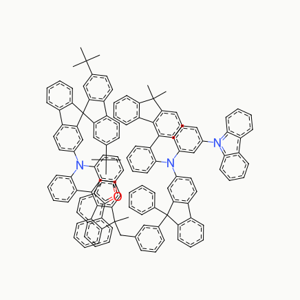 CC(C)(C)c1ccc2c(c1)C1(c3ccccc3-c3ccc(N(c4ccccc4-c4cccc5c4-c4ccccc4C5(C)Cc4cccc(C5(c6ccccc6)c6ccccc6-c6ccc(N(c7cccc(-n8c9ccccc9c9ccccc98)c7)c7ccccc7-c7cccc8c7-c7ccccc7C8(C)C)cc65)c4)c4cccc5oc6c7ccccc7ccc6c45)cc31)c1cc(C(C)(C)C)ccc1-2